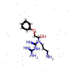 N=C(N)NC(=N)N(CCCN)C(O)COc1ccccc1